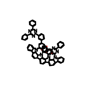 C1=CC2c3ccc4c5ccc6c7ccccc7n(-c7nc(-c8ccccc8)nc(-c8ccccc8)n7)c6c5n(-c5ccccc5)c4c3N(c3ccccc3)C2c2c1c1ccccc1n2-c1cccc(-c2cccc(-c3nc(-c4ccccc4)nc(-c4ccccc4)n3)c2)c1